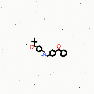 CN(Cc1ccc(C(=O)c2ccccc2)cc1)Cc1ccc(C(=O)C(C)(C)C)cc1